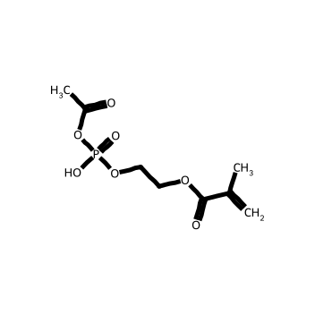 C=C(C)C(=O)OCCOP(=O)(O)OC(C)=O